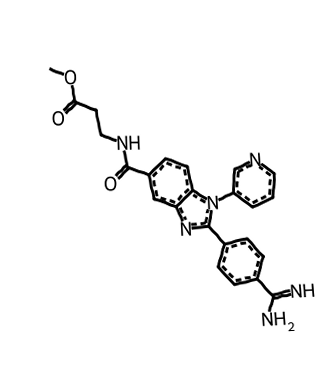 COC(=O)CCNC(=O)c1ccc2c(c1)nc(-c1ccc(C(=N)N)cc1)n2-c1cccnc1